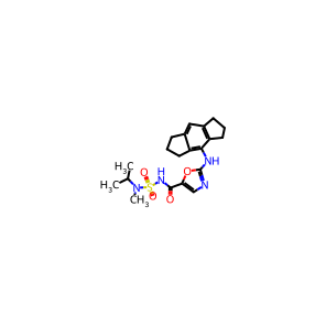 CC(C)N(C)S(=O)(=O)NC(=O)c1cnc(Nc2c3c(cc4c2CCC4)CCC3)o1